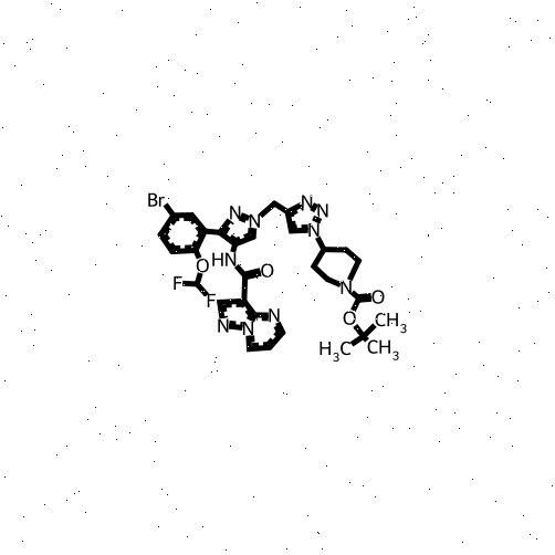 CC(C)(C)OC(=O)N1CCC(n2cc(Cn3cc(NC(=O)c4cnn5cccnc45)c(-c4cc(Br)ccc4OC(F)F)n3)nn2)CC1